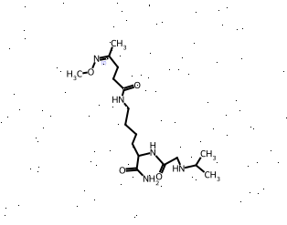 CO/N=C(/C)CCC(=O)NCCCCC(NC(=O)CNC(C)C)C(N)=O